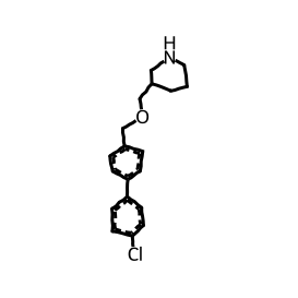 Clc1ccc(-c2ccc(COCC3CCCNC3)cc2)cc1